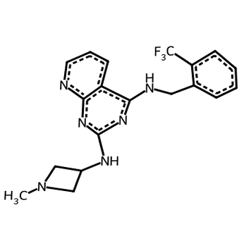 CN1CC(Nc2nc(NCc3ccccc3C(F)(F)F)c3cccnc3n2)C1